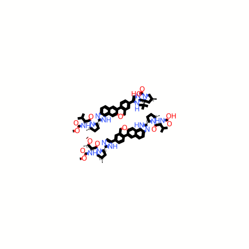 COC(=O)N[C@H](C(=O)N1C[C@@H](C)C[C@H]1c1ncc(-c2ccc3c(c2)COc2cc4c(ccc5nc([C@@H]6CC[C@H](C)N6C(=O)[C@@H](NC(=O)O)C(C)C)[nH]c54)cc2-3)[nH]1)[C@H](C)OC.COC(=O)N[C@H](C(=O)N1[C@@H](C)CC[C@H]1c1nc2ccc3cc4c(cc3c2[nH]1)OCc1cc(-c2cnc([C@@]3(C(C)(C)C)C[C@H](C)CN3C(=O)O)[nH]2)ccc1-4)C(C)C